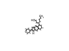 CCCCN(CCO)C1CCCC2=C1N=C1N=C(N3CCOCC3)NN1C2